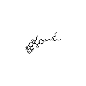 CCCCN(CCCC)CCCOc1ccc(C(=O)c2c(CCC)oc3ccc(N(S(C)(=O)=O)S(C)(=O)=O)cc23)cc1